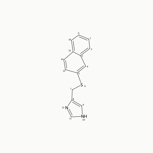 c1ccc2cc(SCc3c[nH]cn3)ccc2c1